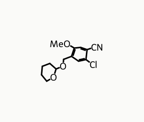 COc1cc(C#N)c(Cl)cc1COC1CCCCO1